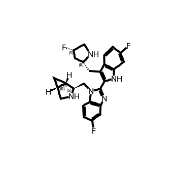 Fc1ccc2c(c1)nc(-c1[nH]c3cc(F)ccc3c1C[C@@H]1C[C@H](F)CN1)n2C[C@H]1NC[C@@H]2C[C@@H]21